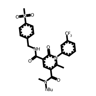 CCCCN(C)C(=O)c1cc(C(=O)NCc2ccc(S(C)(=O)=O)cc2)c(=O)n(-c2cccc(C(F)(F)F)c2)c1C